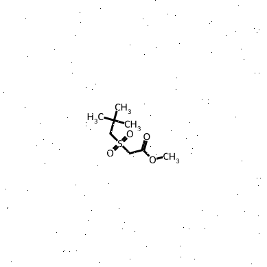 COC(=O)CS(=O)(=O)CC(C)(C)C